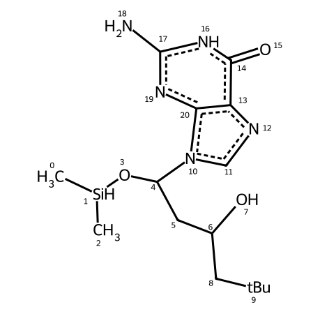 C[SiH](C)OC(CC(O)CC(C)(C)C)n1cnc2c(=O)[nH]c(N)nc21